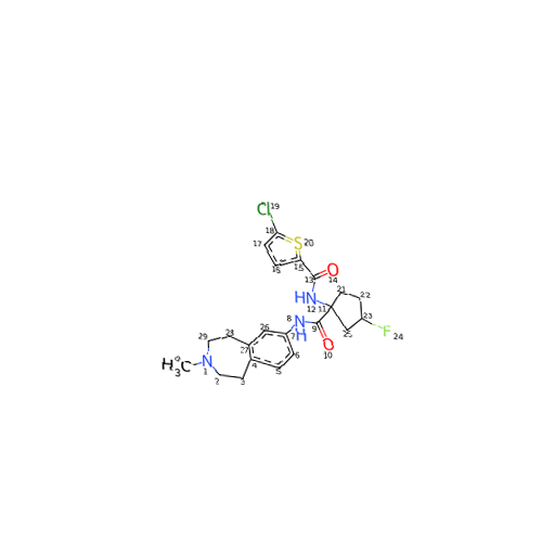 CN1CCc2ccc(NC(=O)C3(NC(=O)c4ccc(Cl)s4)CCC(F)C3)cc2CC1